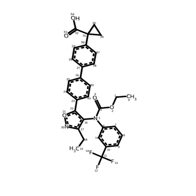 CCOC(=O)N(c1cccc(C(F)(F)F)c1)c1c(CC)noc1-c1ccc(-c2ccc(C3(C(=O)O)CC3)cc2)cc1